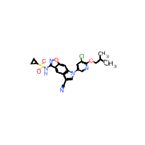 CC(C)COc1ncc(-n2cc(C#N)c3cc4c(NS(=O)(=O)C5CC5)noc4cc32)cc1Cl